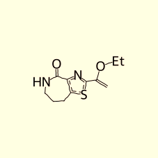 C=C(OCC)c1nc2c(s1)CCCNC2=O